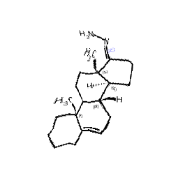 C[C@]12CCCCC1=CC[C@@H]1C2CC[C@]2(C)/C(=N\N)CC[C@@H]12